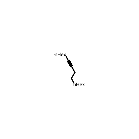 [CH2]CCCCCCCC#C[CH]CCCCC